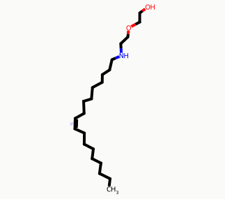 CCCCCCCC/C=C\CCCCCCCCNCCOCCO